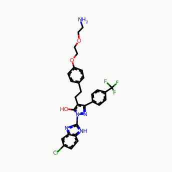 NCCOCCOc1ccc(CCc2c(-c3ccc(C(F)(F)F)cc3)nn(-c3nc4cc(Cl)ccc4[nH]3)c2O)cc1